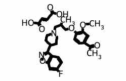 COc1cc(C(C)=O)ccc1OCC(C)CN1CCC(c2noc3cc(F)ccc23)CC1.O=C(O)/C=C/C(=O)O